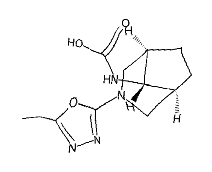 Cc1nnc(N2C[C@H]3CC[C@@H](C2)[C@@H]3NC(=O)O)o1